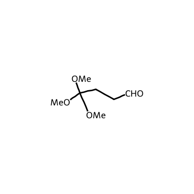 COC(CCC=O)(OC)OC